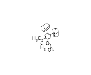 CC(C)c1cc(C23CC4CC(CC(C4)C2)C3)c(C23CC4CC(CC(C4)C2)C3)cc1OCC1CO1